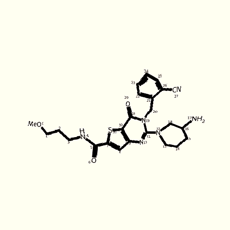 COCCCNC(=O)c1cc2nc(N3CCCC(N)C3)n(Cc3ccccc3C#N)c(=O)c2s1